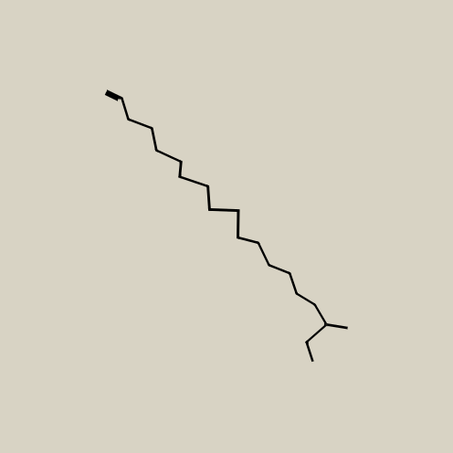 C=CCCCCCCCCCCCCCCC(C)CC